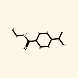 CCOC(=O)C1CCC(C(C)C)CC1